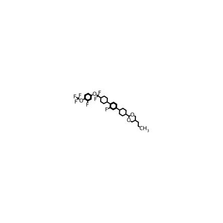 CCCC1COC(C2CCC(c3ccc(C4CCC(C(F)(F)Oc5ccc(OC(F)(F)F)c(F)c5)CC4)c(F)c3)CC2)OC1